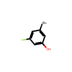 CCC(C)c1cc(O)cc(F)c1